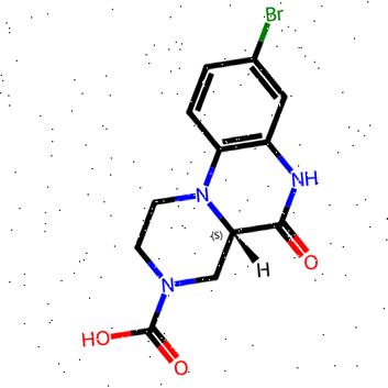 O=C1Nc2cc(Br)ccc2N2CCN(C(=O)O)C[C@@H]12